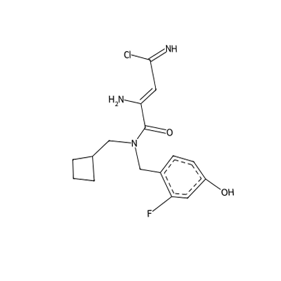 N=C(Cl)/C=C(\N)C(=O)N(Cc1ccc(O)cc1F)CC1CCC1